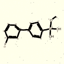 CO[Si](O)(O)c1ccc(-c2cccc(F)c2)cc1